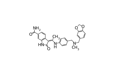 C/C(Nc1ccc(CN(C)Cc2ccc3c(c2)OCO3)cc1)=C1/C(=O)Nc2cc(C(N)=O)ccc21